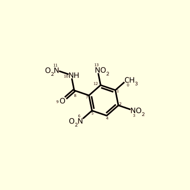 Cc1c([N+](=O)[O-])cc([N+](=O)[O-])c(C(=O)N[N+](=O)[O-])c1[N+](=O)[O-]